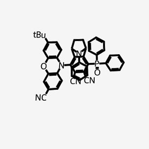 CC(C)(C)c1ccc2c(c1)Oc1cc(C#N)ccc1N2c1c(C#N)c(C#N)c(P(=O)(c2ccccc2)c2ccccc2)c2c1C1CCC2N1c1ccccc1